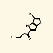 CCOC(=O)c1cc2scc(Br)c2[nH]1